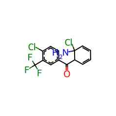 NC1(Cl)C=CC=CC1C(=O)c1ccc(Cl)c(C(F)(F)F)c1